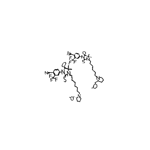 COC[C@@H]1CCCN1CCCCCCN1C(=S)N(c2ccc(C#N)c(C(F)(F)F)c2)C(=O)C1(C)C.COC[C@H]1CCCN1CCCCCCCN1C(=S)N(c2ccc(C#N)c(C(F)(F)F)c2)C(=O)C1(C)C